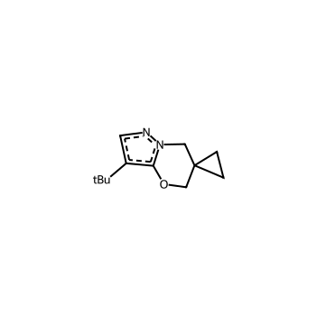 CC(C)(C)c1cnn2c1OCC1(CC1)C2